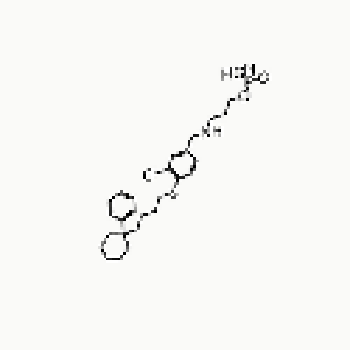 O=[PH](O)OCCCNCc1ccc(SCCCCC2(c3ccccc3)CCCCC2)c(Cl)c1